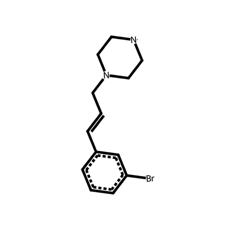 Brc1cccc(C=CCN2CC[N]CC2)c1